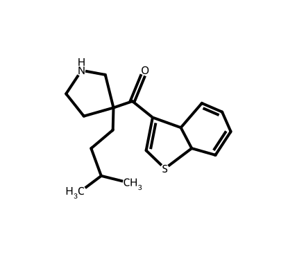 CC(C)CCC1(C(=O)C2=CSC3C=CC=CC23)CCNC1